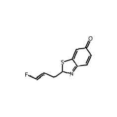 O=C1C=CC2=NC(CC=CF)SC2=C1